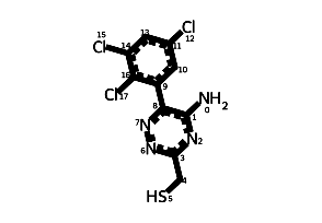 Nc1nc(CS)nnc1-c1cc(Cl)cc(Cl)c1Cl